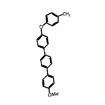 COc1ccc(-c2ccc(-c3ccc(Oc4ccc(C)cc4)cc3)cc2)cc1